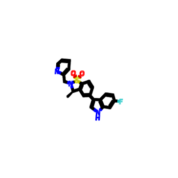 C[C@@H]1c2cc(-c3c[nH]c4cc(F)ccc34)ccc2S(=O)(=O)N1Cc1ccccn1